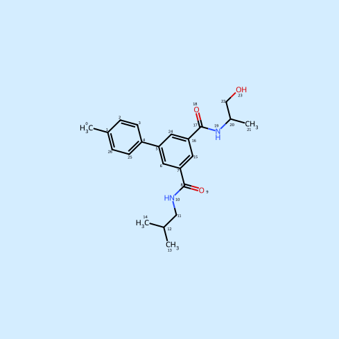 Cc1ccc(-c2cc(C(=O)NCC(C)C)cc(C(=O)NC(C)CO)c2)cc1